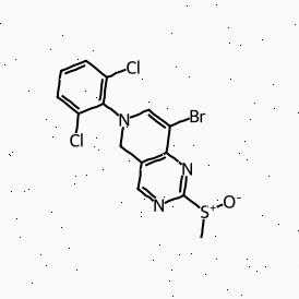 C[S+]([O-])c1ncc2c(n1)C(Br)=CN(c1c(Cl)cccc1Cl)C2